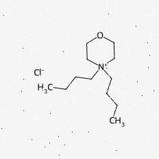 CCCC[N+]1(CCCC)CCOCC1.[Cl-]